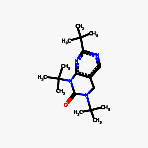 CC(C)(C)c1ncc2c(n1)N(C(C)(C)C)C(=O)N(C(C)(C)C)C2